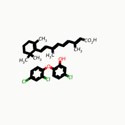 CC1=C(/C=C/C(C)=C/C=C/C(C)=C/C(=O)O)C(C)(C)CCC1.Oc1cc(Cl)ccc1Oc1ccc(Cl)cc1Cl